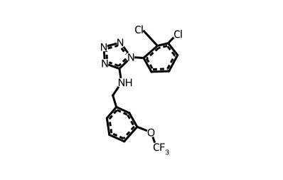 FC(F)(F)Oc1cccc(CNc2nnnn2-c2cccc(Cl)c2Cl)c1